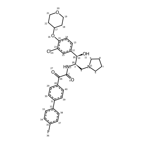 O=C(N[C@H](CN1CCCC1)[C@H](O)c1ccc(OC2CCOCC2)c(Cl)c1)C(=O)c1ccc(-c2ccc(F)cc2)cc1